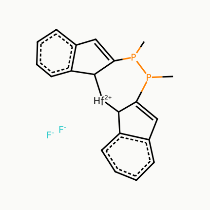 CP1C2=Cc3ccccc3[CH]2[Hf+2][CH]2C(=Cc3ccccc32)P1C.[F-].[F-]